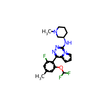 Cc1cc(F)c(-c2nnc(N[C@@H]3CCCN(C)C3)n3cccc23)c(OC(F)F)c1